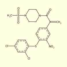 C=C(C(=O)N1CCN(S(C)(=O)=O)CC1)c1ccc(Sc2ccc(Cl)cc2Cl)c([N+](=O)[O-])c1